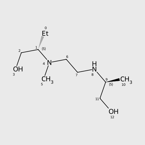 CC[C@@H](CO)N(C)CCN[C@@H](C)CO